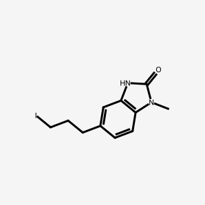 Cn1c(=O)[nH]c2cc(CCCI)ccc21